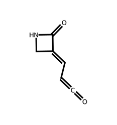 O=C=CC=C1CNC1=O